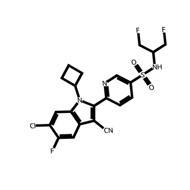 N#Cc1c(-c2ccc(S(=O)(=O)NC(CF)CF)cn2)n(C2CCC2)c2cc(Cl)c(F)cc12